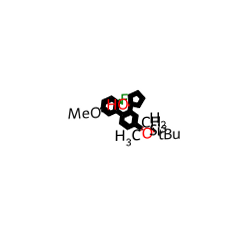 COc1ccc(F)c(-c2ccc(C(C)(C)O[SiH2]C(C)(C)C)cc2C2(O)CCCC2)c1